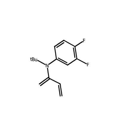 C=CC(=C)N(c1ccc(F)c(F)c1)C(C)(C)C